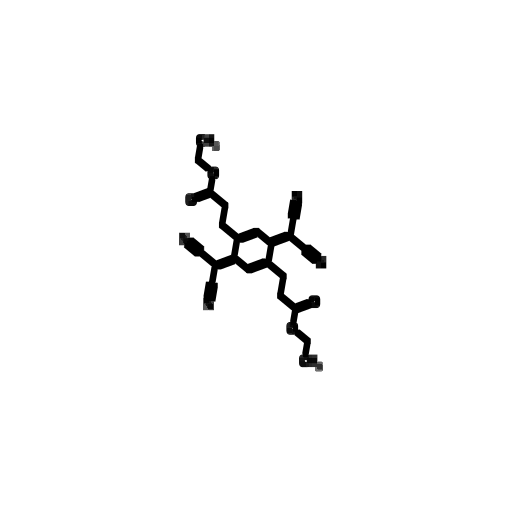 CCOC(=O)CCc1cc(=C(C#N)C#N)c(CCC(=O)OCC)cc1=C(C#N)C#N